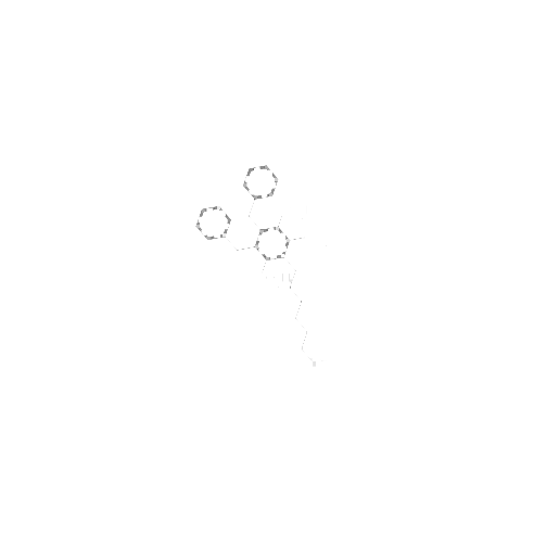 CC(C)CCCCCCc1c(C(=O)O)c(Cc2ccccc2)c(Cc2ccccc2)c(C(=O)O)c1C(=O)O